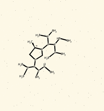 BBB(B)B(B(B)B)B1CB(B(B(B)B)B(BB)B(B)B)[C@H](C)C1